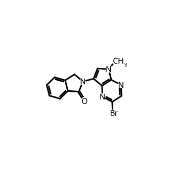 Cn1cc(N2Cc3ccccc3C2=O)c2nc(Br)cnc21